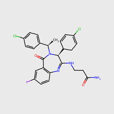 C[C@H](c1ccc(Cl)cc1)N1C(=O)c2cc(I)ccc2N=C(NCCC(N)=O)[C@@H]1C1C=CC(Cl)=CC1